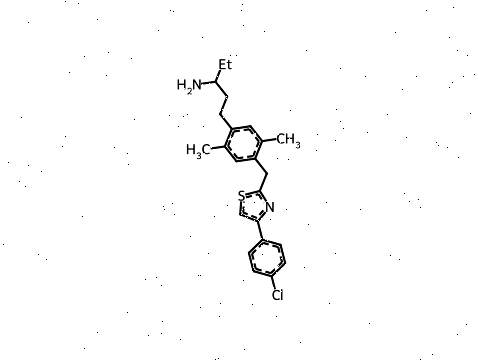 CCC(N)CCc1cc(C)c(Cc2nc(-c3ccc(Cl)cc3)cs2)cc1C